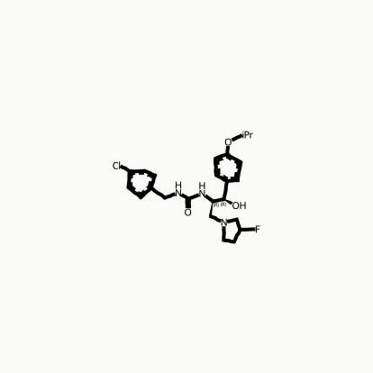 CC(C)Oc1ccc([C@@H](O)[C@@H](CN2CCC(F)C2)NC(=O)NCc2ccc(Cl)cc2)cc1